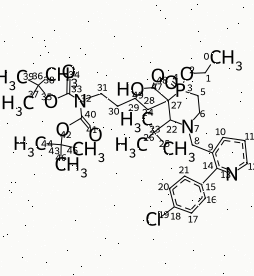 CCOP1(=O)CCN(Cc2cccnc2-c2ccc(Cl)cc2)C(C(C)(C)C)C1(CCCCN(C(=O)OC(C)(C)C)C(=O)OC(C)(C)C)C(=O)O